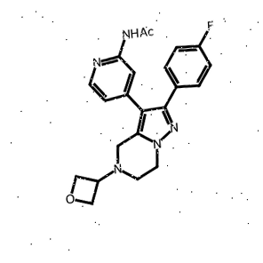 CC(=O)Nc1cc(-c2c(-c3ccc(F)cc3)nn3c2CN(C2COC2)CC3)ccn1